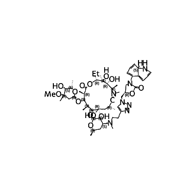 CC[C@H]1OC(=O)[C@H](C)[C@@H](O[C@H]2C[C@@](C)(OC)[C@@H](O)[C@H](C)O2)[C@H](C)[C@@H](O[C@@H]2O[C@H](C)C[C@H](N(C)CCc3cn(C[C@H]4CN(C5=CC=C[C@@H]6NC=CC=C56)C(=O)O4)nn3)[C@H]2O)[C@](C)(O)C[C@@H](C)CN(C)[C@H](C)[C@@H](O)[C@]1(C)O